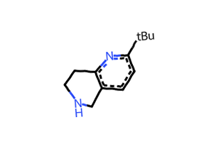 CC(C)(C)c1ccc2c(n1)CCNC2